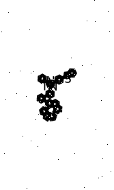 c1ccc(-c2nc(-c3ccc(-c4cc5ccccc5s4)cc3)nc(-c3cccc(-c4ccccc4-c4cc5ccc6cccc7c8cccc9ccc%10cccc(c(c4)c5c67)c%10c98)c3)n2)cc1